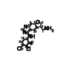 NCC1COc2cc3ncnc(Nc4ccc(Cl)c(Cl)c4F)c3cc21